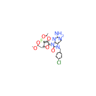 COC(=O)C[C@H]1O[C@@H](n2c(=O)n(Cc3ccc(Cl)cc3)c3cnc(N)nc32)[C@H](OC(C)=O)[C@@H]1F